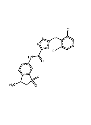 CC1CS(=O)(=O)c2cc(NC(=O)c3nnc(Sc4c(Cl)cncc4Cl)s3)ccc21